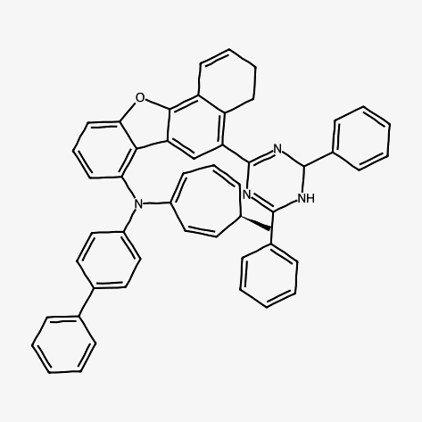 C[C@@H]1C=CC=C(N(c2ccc(-c3ccccc3)cc2)c2cccc3oc4c5c(c(C6=NC(c7ccccc7)NC(c7ccccc7)=N6)cc4c23)CCC=C5)C=C1